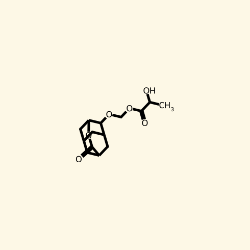 CC(O)C(=O)OCOC1C2CC3CC(C2)C(=O)OC1C3